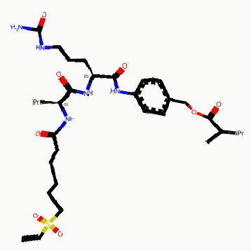 C=CS(=O)(=O)CCCCCC(=O)N[C@H](C(=O)N[C@@H](CCCNC(N)=O)C(=O)Nc1ccc(COC(=O)C(C)C(C)C)cc1)C(C)C